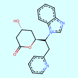 O=C1C[C@H](O)C[C@@H](C(Cc2ccccn2)n2cnc3ccccc32)O1